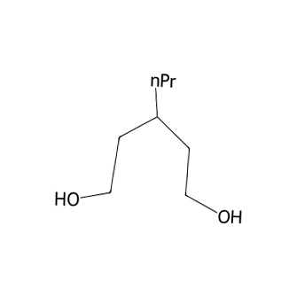 [CH2]CCC(CCO)CCO